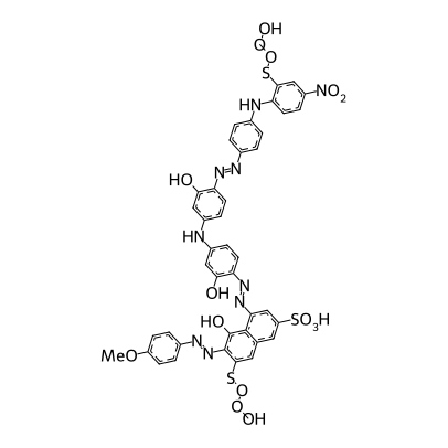 COc1ccc(N=Nc2c(SOOO)cc3cc(S(=O)(=O)O)cc(N=Nc4ccc(Nc5ccc(N=Nc6ccc(Nc7ccc([N+](=O)[O-])cc7SOOO)cc6)c(O)c5)cc4O)c3c2O)cc1